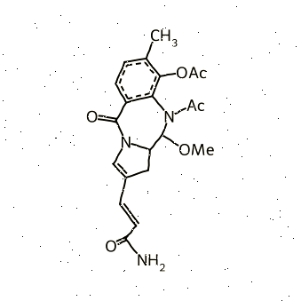 COC1C2CC(/C=C/C(N)=O)=CN2C(=O)c2ccc(C)c(OC(C)=O)c2N1C(C)=O